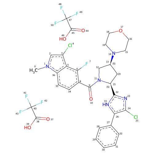 Cn1cc(Cl)c2c(F)c(C(=O)N3C[C@@H](N4CCOCC4)C[C@H]3c3nc(Cl)c(-c4ccccc4)[nH]3)ccc21.O=C(O)C(F)(F)F.O=C(O)C(F)(F)F